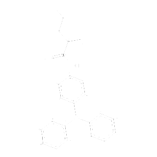 CCCC(Br)C(=O)O.c1ccc(P(c2ccccc2)c2ccccc2)cc1